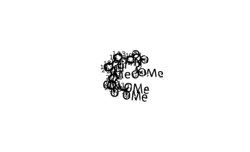 COC(CCN1C(=O)COc2cc(-c3cccc(-c4cccc(-c5ccc6c(c5)OCC(=O)N6CCC(OC)OC)c4Cl)c3Cl)ccc21)OC